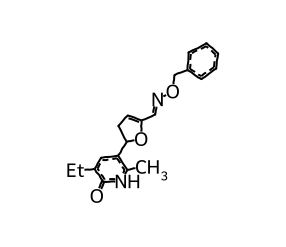 CCc1cc(C2CC=C(/C=N/OCc3ccccc3)O2)c(C)[nH]c1=O